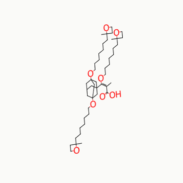 CC(C(=O)O)=C(OCCCCCCCC1(C)CCO1)C12CC3CC(OCCCCCCCC4(C)CCO4)(CC(OCCCCCCCC4(C)CCO4)(C3)C1)C2